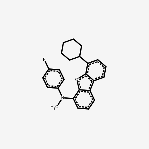 CN(c1ccc(F)cc1)c1cccc2c1oc1c(C3CCCCC3)cccc12